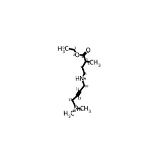 CCOC(=O)C(C)CCNCC#CCN(C)C